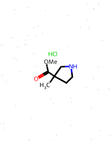 COC(=O)C1(C)CCNC1.Cl